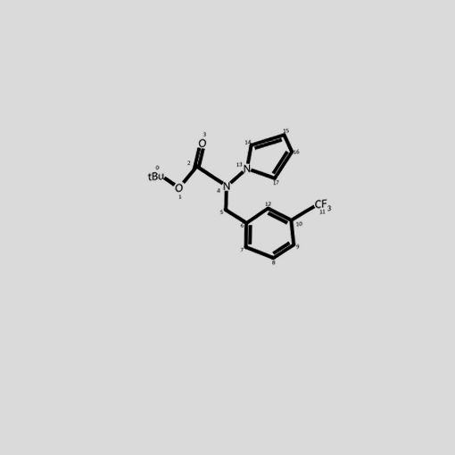 CC(C)(C)OC(=O)N(Cc1cccc(C(F)(F)F)c1)n1cccc1